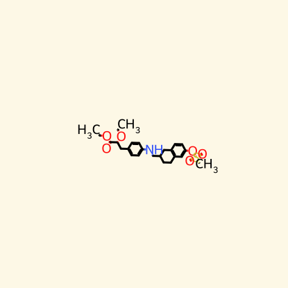 CCOC(=O)C(Cc1ccc(NCC2CCc3cc(OS(C)(=O)=O)ccc3C2)cc1)OCC